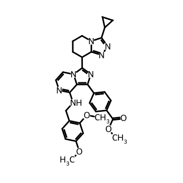 COC(=O)c1ccc(-c2nc(C3CCCn4c(C5CC5)nnc43)n3ccnc(NCc4ccc(OC)cc4OC)c23)cc1